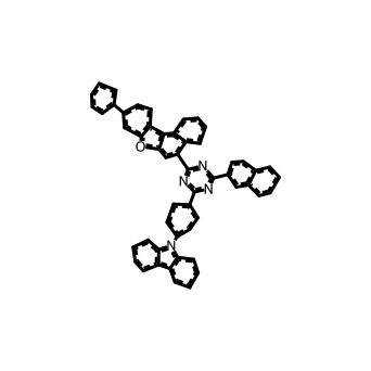 c1ccc(-c2ccc3c(c2)oc2cc(-c4nc(-c5ccc(-n6c7ccccc7c7ccccc76)cc5)nc(-c5ccc6ccccc6c5)n4)c4ccccc4c23)cc1